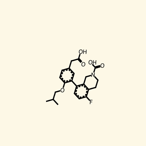 CC(C)COc1ccc(CC(=O)O)cc1-c1ccc(F)c2c1CN(C(=O)O)CC2